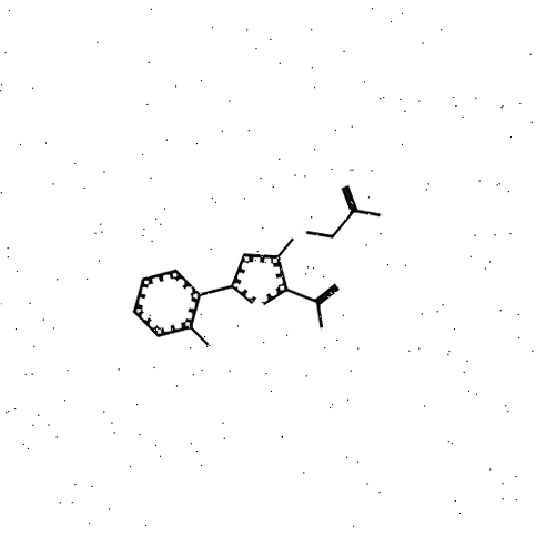 Cc1ccccc1-c1cc(OCC(=O)O)c(C(=O)O)s1